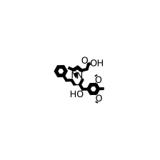 COc1cc([C@@H](O)[C@@H](CCCc2ccccc2)Cn2nc(C)cc2CC(=O)O)cc(OC)c1C